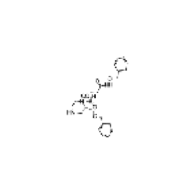 O=C(CCC(=O)[N@+]1(C(=O)O)CCNCC1C(=O)OCc1ccccc1)NOCc1ccccc1